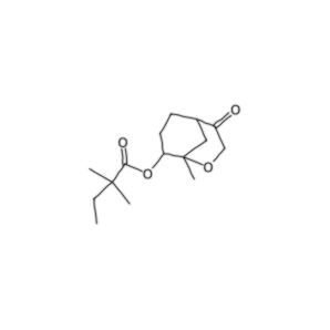 CCC(C)(C)C(=O)OC1CCC2CC1(C)OCC2=O